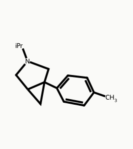 Cc1ccc(C23CC2CN(C(C)C)C3)cc1